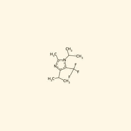 Cc1nc(C(C)C)c(C(F)(F)F)n1C(C)C